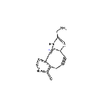 NCC(=O)N/C1=C/c2cc[nH]c(=O)c2CC#CC1Cl